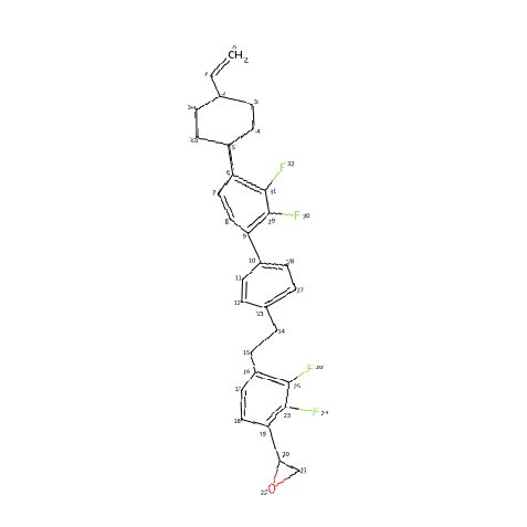 C=CC1CCC(c2ccc(-c3ccc(CCc4ccc(C5CO5)c(F)c4F)cc3)c(F)c2F)CC1